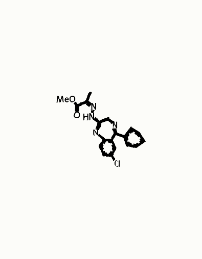 COC(=O)C(C)=NNC1=Nc2ccc(Cl)cc2C(c2ccccc2)=NC1